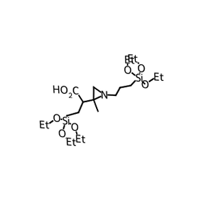 CCO[Si](CCCN1CC1(C)C(CC[Si](OCC)(OCC)OCC)C(=O)O)(OCC)OCC